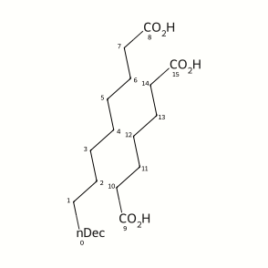 CCCCCCCCCCCCCCCCCC(=O)O.O=C(O)CCCCCC(=O)O